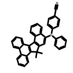 CC1(C)c2cc(N(c3ccccc3)c3ccc(C#N)cc3)c3ccccc3c2-c2c1c1ccccc1c1ccccc21